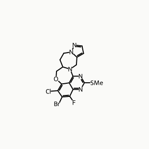 CSc1nc2c3c(c(Cl)c(Br)c(F)c3n1)OCC1CCn3nccc3CN21